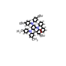 Cc1ccc(N2c3ccc(C)cc3B3c4cc(C(C)(C)C)ccc4N(c4ccccc4-c4ccccc4)c4cc(N(c5ccc(C(C)(C)C)cc5)c5ccc(C(C)(C)C)cc5)cc2c43)cc1